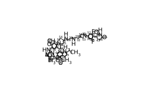 CCc1ccc2c(P(C)(C)=O)c(Nc3nc(Nc4cc(CC)c(N5CCC(NCCNCC[C@H]6CCN(c7cc(F)c(C8CCC(=O)NC8=O)c(F)c7)C6)CC5)cc4OC)ncc3Br)ccc2n1